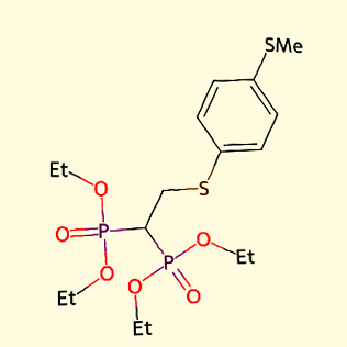 CCOP(=O)(OCC)C(CSc1ccc(SC)cc1)P(=O)(OCC)OCC